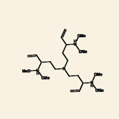 C=CC(CCN(CCC(C=C)[SiH](OC)OC)CCC(C=C)[SiH](OC)OC)[SiH](OC)OC